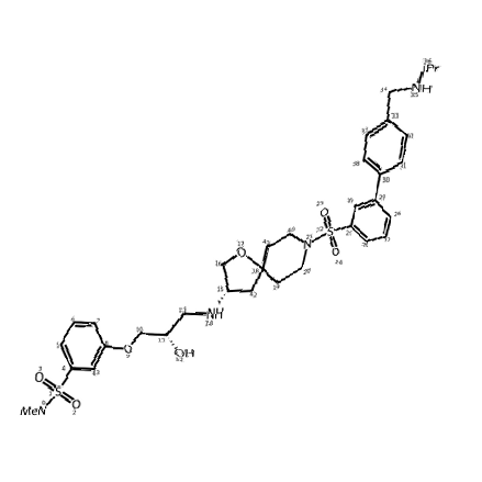 CNS(=O)(=O)c1cccc(OC[C@@H](O)CN[C@@H]2COC3(CCN(S(=O)(=O)c4cccc(-c5ccc(CNC(C)C)cc5)c4)CC3)C2)c1